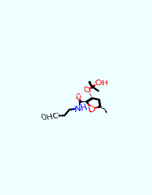 C[C@@H]1C[C@@H](OC(C)(C)O)[C@H](C(=O)NCCC=O)O1